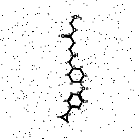 CCOC(=O)CCNC[C@H]1CC[C@H](Oc2ccc(C3CC3)cn2)CC1